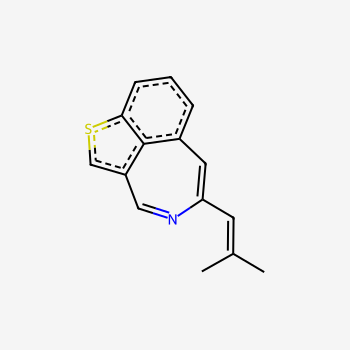 CC(C)=CC1=Cc2cccc3scc(c23)C=N1